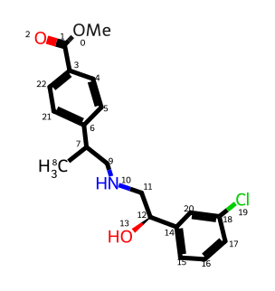 COC(=O)c1ccc(C(C)CNC[C@H](O)c2cccc(Cl)c2)cc1